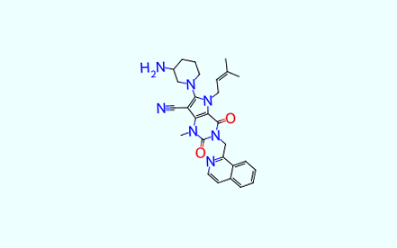 CC(C)=CCn1c(N2CCCC(N)C2)c(C#N)c2c1c(=O)n(Cc1nccc3ccccc13)c(=O)n2C